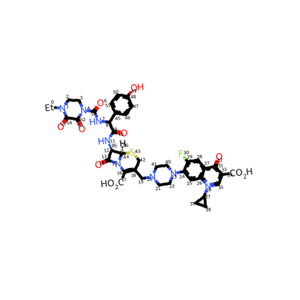 CCN1CCN(C(=O)NC(C(=O)N[C@@H]2C(=O)N3C(C(=O)O)=C(CN4CCN(c5cc6c(cc5F)c(=O)c(C(=O)O)cn6C5CC5)CC4)CS[C@H]23)c2ccc(O)cc2)C(=O)C1=O